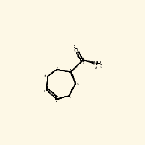 NC(=O)C1CCC=CCC1